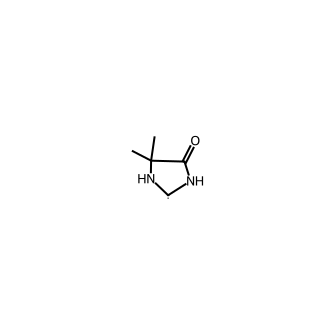 CC1(C)N[CH]NC1=O